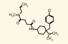 C=CCN(C)C(=O)CCC(=O)NC1CCC(Cc2ccc(Cl)cc2)(N(C)C)CC1